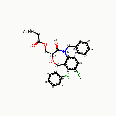 CC(=O)NCC(=O)OC[C@@H]1O[C@@H](c2ccccc2Cl)c2cc(Cl)ccc2N(Cc2ccccc2)C1=O